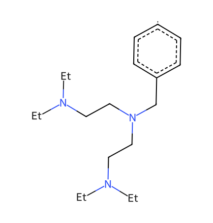 CCN(CC)CCN(CCN(CC)CC)Cc1cc[c]cc1